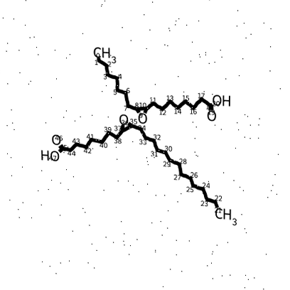 CCCCCCCCC1OC1CCCCCCCC(=O)O.CCCCCCCCCCCCCCC1OC1CCCCCCCC(=O)O